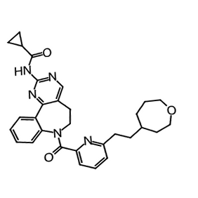 O=C(Nc1ncc2c(n1)-c1ccccc1N(C(=O)c1cccc(CCC3CCCOCC3)n1)CC2)C1CC1